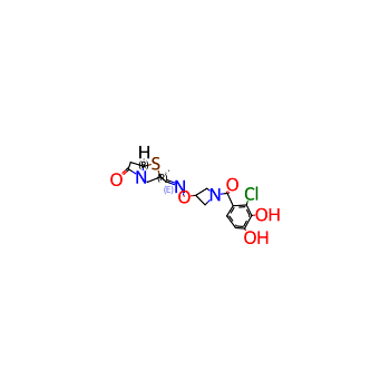 C[C@]1(/C=N/OC2CN(C(=O)c3ccc(O)c(O)c3Cl)C2)CN2C(=O)C[C@H]2S1